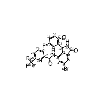 O=C(Nc1cc(Br)cc2c1C(c1cc(F)ccc1Cl)NC2=O)c1cccc(C(F)(F)F)n1